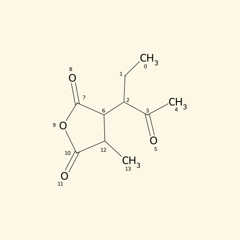 CCC(C(C)=O)C1C(=O)OC(=O)C1C